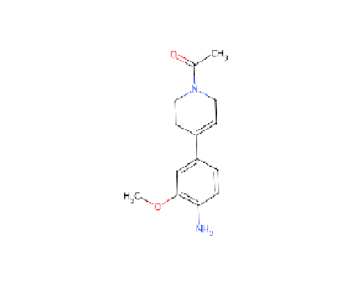 COc1cc(C2=CCN(C(C)=O)CC2)ccc1N